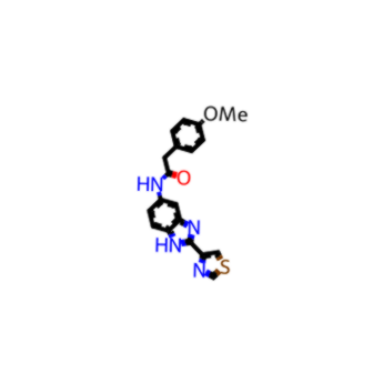 COc1ccc(CC(=O)Nc2ccc3[nH]c(-c4cscn4)nc3c2)cc1